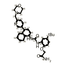 CC(C)(C)c1ccc(OCC(N)=O)c(NC(=O)Nc2ccc(-c3ccc(CN4CCOCC4)nc3)c3ccccc23)c1